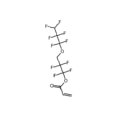 C=CC(=O)OC(F)(F)C(F)(F)COC(F)(F)C(F)(F)C(F)F